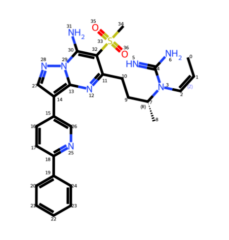 C/C=C\N(C(=N)N)[C@H](C)CCc1nc2c(-c3ccc(-c4ccccc4)nc3)cnn2c(N)c1S(C)(=O)=O